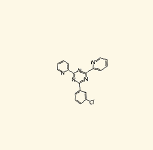 Clc1cccc(-c2nc(-c3ccccn3)nc(-c3ccccn3)n2)c1